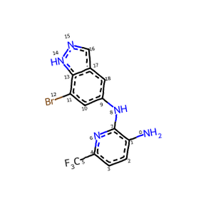 Nc1ccc(C(F)(F)F)nc1Nc1cc(Br)c2[nH]ncc2c1